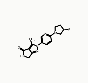 Cc1c2c(nn1-c1ccc(N3CC[C@@H](F)C3)nc1)CNC2=O